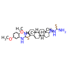 COc1ccc(OC)c(Nc2nc3c(s2)C2=CC[C@@H]4[C@H](CC[C@]5(C)/C(=N/NC(N)=S)CC[C@@H]45)[C@@]2(C)CC3)c1